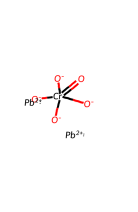 [O]=[Cr]([O-])([O-])([O-])[O-].[Pb+2].[Pb+2]